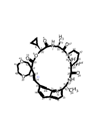 C[C@@H]1NC(=O)[C@H](C2CC2)OC(=O)C2(/C=C/c3ccc4ccc(nc4c3)[C@@H](C)NC(=O)[C@@H]3CCCN(N3)C1=O)COCCOC2